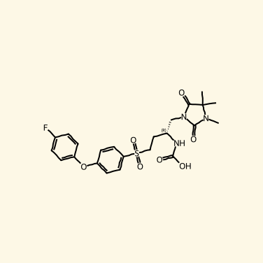 CN1C(=O)N(C[C@@H](CCS(=O)(=O)c2ccc(Oc3ccc(F)cc3)cc2)NC(=O)O)C(=O)C1(C)C